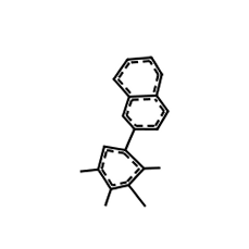 Cc1cc(-c2ccc3ccccc3c2)c(C)c(C)c1C